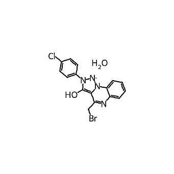 O.OC1=C2C(CBr)=Nc3ccccc3N2[N]N1c1ccc(Cl)cc1